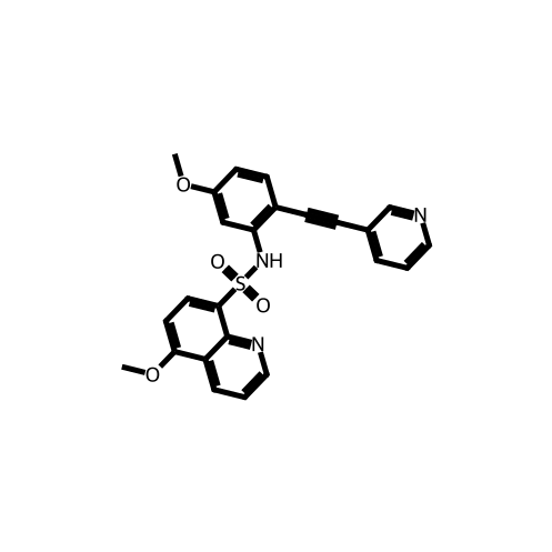 COc1ccc(C#Cc2cccnc2)c(NS(=O)(=O)c2ccc(OC)c3cccnc23)c1